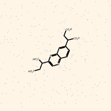 O=C(O)CC(C(=O)O)c1ccc2ncc(C(CC(=O)O)C(=O)O)nc2c1